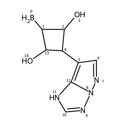 BC1C(O)C(c2cnn3nc[nH]c23)C1O